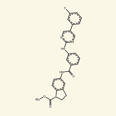 CC(C)(C)OC(=O)N1CCc2cc(NC(=O)c3cccc(Nc4ncc(-c5cccc(F)c5)cn4)c3)ccc21